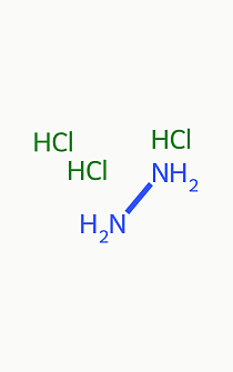 Cl.Cl.Cl.NN